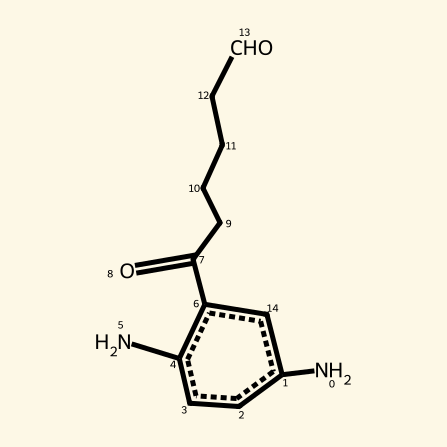 Nc1ccc(N)c(C(=O)CCCCC=O)c1